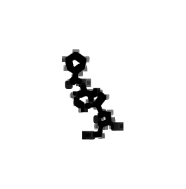 O=C(Nc1ncnn2c([C@H]3C[C@H](O)[C@@H](CO)O3)cnc12)c1ccccc1